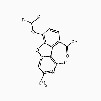 Cc1cc2oc3c(OC(F)F)ccc(C(=O)O)c3c2c(Cl)n1